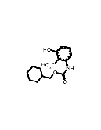 O=C(Nc1cccc(O)c1C(=O)O)OCC1CCCCC1